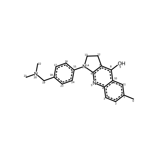 Cc1ccc2nc3c(c(O)c2c1)CCN3c1ccc(CN(C)C)cc1